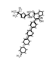 CC(C)(C)c1ccc(C(O)N[C@@H]2C(=O)N3CCC[C@H]3C(O)=C2c2ccc(-c3ncc(C4=CCC([C@H]5CC[C@H](C)CC5)CC4)cn3)cc2)s1